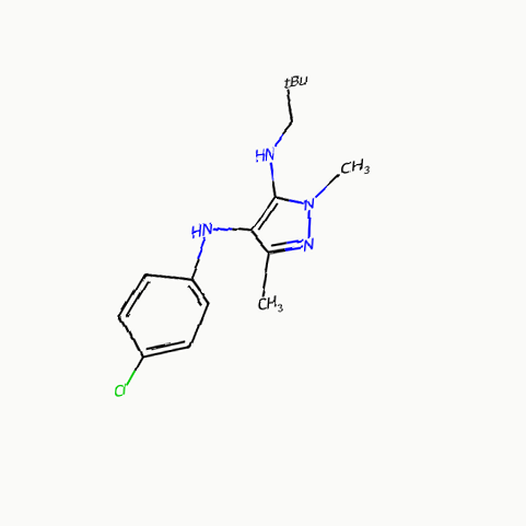 Cc1nn(C)c(NCC(C)(C)C)c1Nc1ccc(Cl)cc1